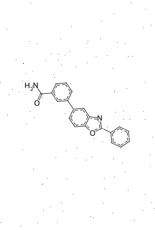 NC(=O)c1cccc(-c2ccc3oc(-c4ccccc4)nc3c2)c1